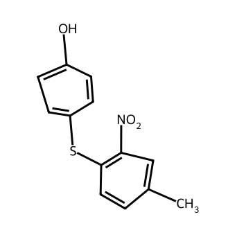 Cc1ccc(Sc2ccc(O)cc2)c([N+](=O)[O-])c1